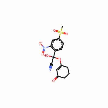 CS(=O)(=O)c1ccc(C(O)(C#N)OC2=CC(=O)CCC2)c([N+](=O)[O-])c1